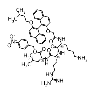 CC(C)CCOc1ccc2ccccc2c1-c1c(OCC(=O)N[C@H](CCCCN)C(=O)N[C@H](CCCNC(=N)N)C(=O)N[C@@H](CC(C)C)C(=O)OCc2ccc([N+](=O)[O-])cc2)ccc2ccccc12